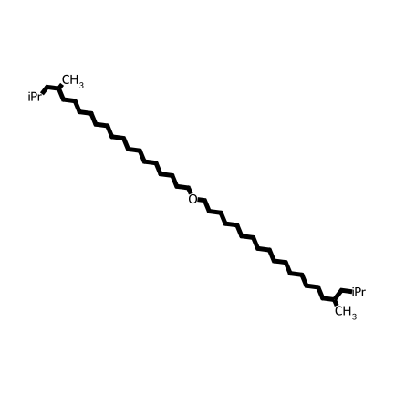 CC(C)CC(C)CCCCCCCCCCCCCCCCOCCCCCCCCCCCCCCCCC(C)CC(C)C